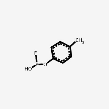 Cc1ccc(OP(O)F)cc1